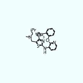 CC(C)CN(C)Cc1sc(Nc2cccnc2Oc2ccccc2C(C)(C)C)nc1C(F)(F)F